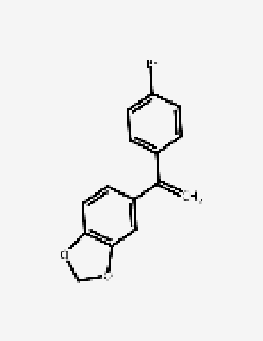 C=C(c1ccc(Br)cc1)c1ccc2c(c1)OCO2